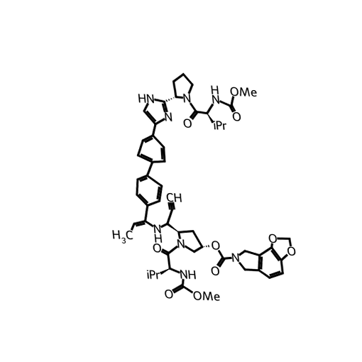 C#CC(N/C(=C\C)c1ccc(-c2ccc(-c3c[nH]c([C@@H]4CCCN4C(=O)[C@@H](NC(=O)OC)C(C)C)n3)cc2)cc1)[C@H]1C[C@H](OC(=O)N2Cc3ccc4c(c3C2)OCO4)CN1C(=O)[C@@H](NC(=O)OC)C(C)C